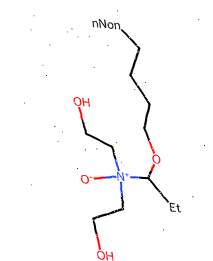 CCCCCCCCCCCCCOC(CC)[N+]([O-])(CCO)CCO